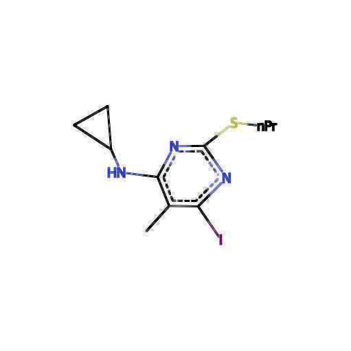 CCCSc1nc(I)c(C)c(NC2CC2)n1